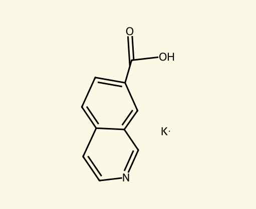 O=C(O)c1ccc2ccncc2c1.[K]